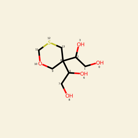 OCC(O)C1(C(O)CO)COCSC1